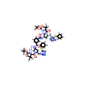 CC(C)(C)OC(=O)N[C@H](C(=O)N1C[C@@H](NC(=O)c2cccc(C(=O)N[C@H]3C[C@@H](Cn4nnnc4Sc4ccccc4)N(C(=O)[C@H](NC(=O)OC(C)(C)C)C(C)(C)C)C3)c2)C[C@H]1Cn1nnnc1Sc1ccccc1)C(C)(C)C